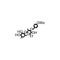 CCC1O[C@H](O[C@@H]2C(C)C[C@@H](C)C(O)[C@H]2O)C(C)[C@H](OCc2ccc(OC)cc2)[C@@H]1O